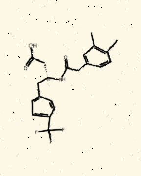 Cc1ccc(CC(=O)N[C@@H](CC(=O)O)Cc2ccc(C(F)(F)F)cc2)cc1C